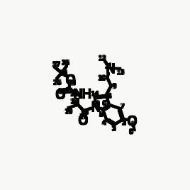 COc1ccc2c(c1)c(CCN(C)C)cn2C(=O)C(C)NC(=O)OC(C)(C)C